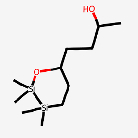 CC(O)CCC1CC[Si](C)(C)[Si](C)(C)O1